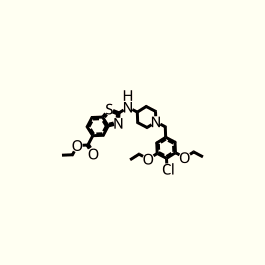 CCOC(=O)c1ccc2sc(NC3CCN(Cc4cc(OCC)c(Cl)c(OCC)c4)CC3)nc2c1